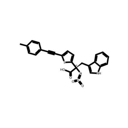 Cc1ccc(C#Cc2ccc([C@](Cc3c[nH]c4ccccc34)(N=S(=O)=O)C(=O)O)s2)cc1